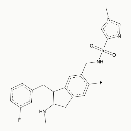 CNC1Cc2cc(F)c(CNS(=O)(=O)c3cn(C)cn3)cc2C1Cc1cccc(F)c1